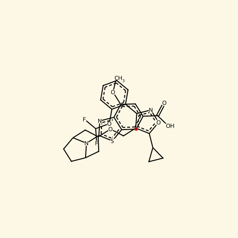 COc1cc(C(=O)O)cc2sc(N3C4CCC3CC(OCc3c(-c5ccccc5OC(F)F)noc3C3CC3)C4)nc12